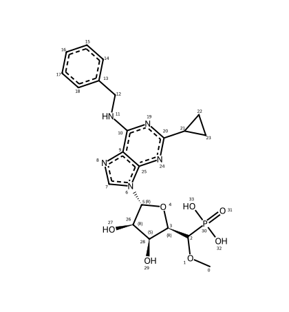 COC([C@@H]1O[C@@H](n2cnc3c(NCc4ccccc4)nc(C4CC4)nc32)[C@H](O)[C@@H]1O)P(=O)(O)O